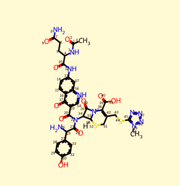 CC(=O)NC(CCC(N)=O)C(=O)Nc1ccc2c(=O)c(C(=O)N(C(=O)C(N)c3ccc(O)cc3)C3C(=O)N4C(C(=O)O)=C(CSc5nnnn5C)CS[C@@H]34)c[nH]c2c1